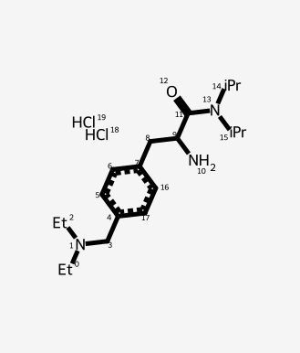 CCN(CC)Cc1ccc(CC(N)C(=O)N(C(C)C)C(C)C)cc1.Cl.Cl